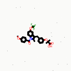 COc1ccc(C(=O)n2c(C)c(Cc3cccc(OC(C)(C)C(=O)O)c3)c3cc(OC(F)(F)F)ccc32)cc1